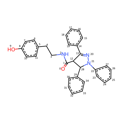 O=C(NCCc1ccc(O)cc1)C1C(c2ccccc2)=NN(c2ccccc2)C1c1ccccc1